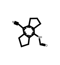 N#Cc1c2c(c(NC=O)c3c1CCC3)CCC2